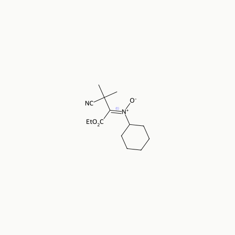 CCOC(=O)/C(=[N+](/[O-])C1CCCCC1)C(C)(C)C#N